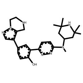 CN(c1ccc(-c2cc(-c3cnn4c3CNCC4)ccc2O)nn1)C1CC(C)(C)NC(C)(C)C1